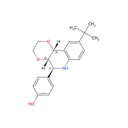 CC(C)(C)c1ccc2c(c1)[C@H]1OCCO[C@H]1[C@H](c1ccc(O)cc1)N2